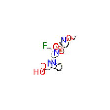 CCOc1ccc(S(=O)(=O)N2C[C@H](n3nc(CC(=O)O)c4ccccc43)C[C@@H]2CCF)cn1